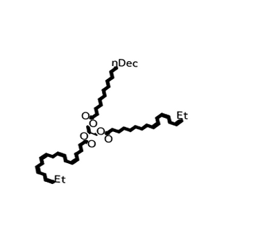 CC/C=C\C/C=C\C/C=C\C/C=C\C/C=C\CCCC(=O)O[C@H](COC(=O)CCCCCCC/C=C\C/C=C\C/C=C\CC)COC(=O)CCCCCCCCCCCCCCCCCCCCC